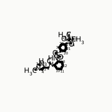 CN(Cc1cn(C)cn1)c1ccccc1NS(=O)(=O)c1ccc(S(=O)(=O)N(C)C)cc1